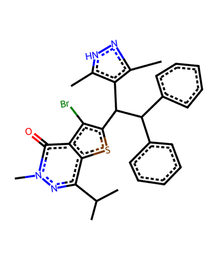 Cc1n[nH]c(C)c1C(c1sc2c(C(C)C)nn(C)c(=O)c2c1Br)C(c1ccccc1)c1ccccc1